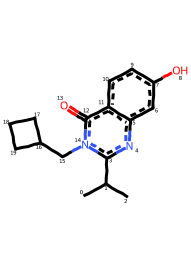 CC(C)c1nc2cc(O)ccc2c(=O)n1CC1CCC1